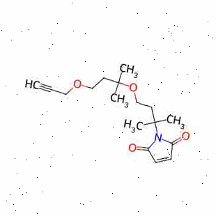 C#CCOCCC(C)(C)OCCC(C)(C)N1C(=O)C=CC1=O